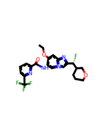 CCOc1cc2nc([C@H](F)C3CCCOC3)cn2cc1NC(=O)c1cccc(C(F)(F)F)n1